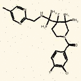 BC1(B)CN(C(=O)c2ccc(F)c(Cl)c2)CCC1(F)C(B)(B)NCc1ncc(C)cn1